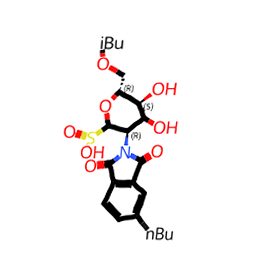 CCCCc1ccc2c(c1)C(=O)N([C@@H]1C(O)[C@H](O)[C@@H](COC(C)CC)OC1S(=O)O)C2=O